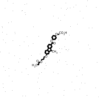 C=CC(=O)OCCCOc1ccc2c(c1)C(C)c1cc(C(=O)Oc3ccc(OCC(=O)O)cc3)ccc1-2